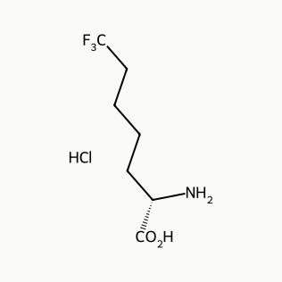 Cl.N[C@@H](CCCCC(F)(F)F)C(=O)O